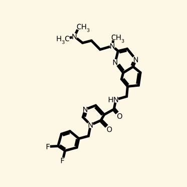 CN(C)CCCN(C)c1cnc2ccc(CNC(=O)c3cncn(Cc4ccc(F)c(F)c4)c3=O)cc2n1